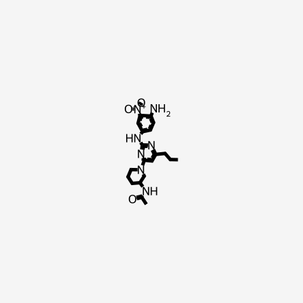 CCCc1cc(N2CCCC(NC(C)=O)C2)nc(Nc2ccc(N)c([N+](=O)[O-])c2)n1